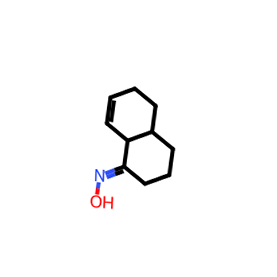 ON=C1CCCC2CCC=CC12